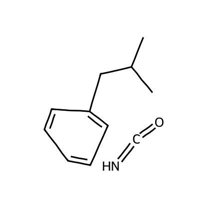 CC(C)Cc1ccccc1.N=C=O